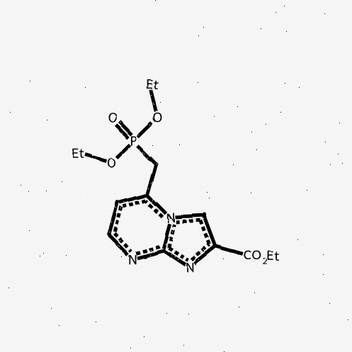 CCOC(=O)c1cn2c(CP(=O)(OCC)OCC)ccnc2n1